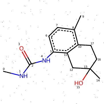 CNC(=O)Nc1ccc(C)c2c1CC(C)(O)CC2